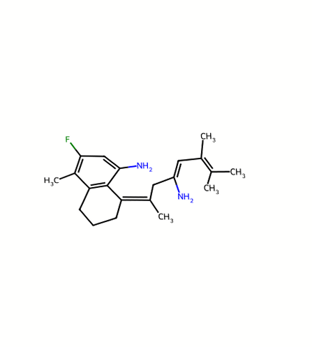 CC(C)=C(C)/C=C(\N)C/C(C)=C1/CCCc2c(C)c(F)cc(N)c21